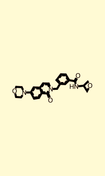 O=C(NC1COC1)c1cccc(Cn2ccc3cc(N4CCOCC4)ccc3c2=O)c1